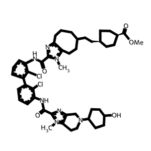 COC(=O)[C@H]1CC[C@@H](CCC2CCCc3nc(C(=O)Nc4cccc(-c5cccc(NC(=O)c6nc7c(n6C)CCN(C6CCC(O)CC6)C7)c5Cl)c4Cl)n(C)c3CC2)CC1